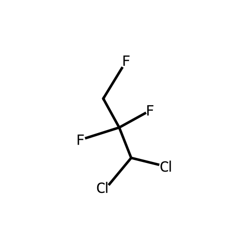 FCC(F)(F)C(Cl)Cl